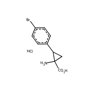 Cl.NC1(C(=O)O)CC1c1ccc(Br)cc1